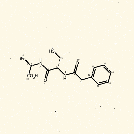 CC(C)[C@@H](NC(=O)[C@H](CS)NC(=O)Cc1ccccc1)C(=O)O